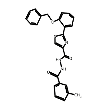 Cc1cccc(C(=O)NNC(=O)c2csc(-c3ccccc3OCc3ccccc3)n2)c1